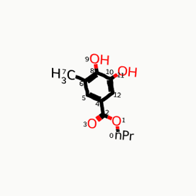 CCCOC(=O)c1cc(C)c(O)c(O)c1